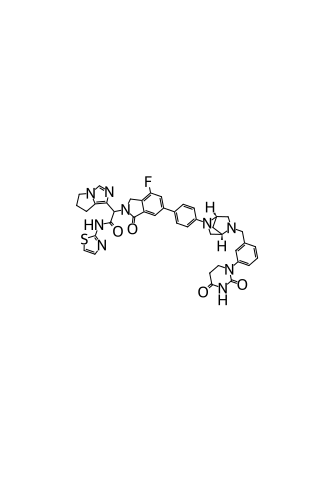 O=C1CCN(c2cccc(CN3C[C@@H]4C[C@H]3CN4c3ccc(-c4cc(F)c5c(c4)C(=O)N(C(C(=O)Nc4nccs4)c4ncn6c4CCC6)C5)cc3)c2)C(=O)N1